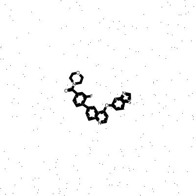 O=C(c1ccc(-c2ccc3nccc(Oc4ccc5scnc5c4)c3c2)c(F)c1)N1CCOCC1